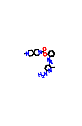 Cc1nc(N)ccc1/N=N/c1ccccc1OC(=O)N1CCC2(CCN(C)CC2)CC1